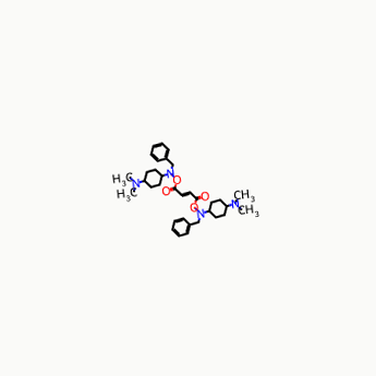 CN(C)C1CCC(N(Cc2ccccc2)OC(=O)/C=C/C(=O)ON(Cc2ccccc2)C2CCC(N(C)C)CC2)CC1